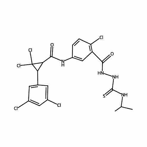 CC(C)NC(=S)NNC(=O)c1cc(NC(=O)C2C(c3cc(Cl)cc(Cl)c3)C2(Cl)Cl)ccc1Cl